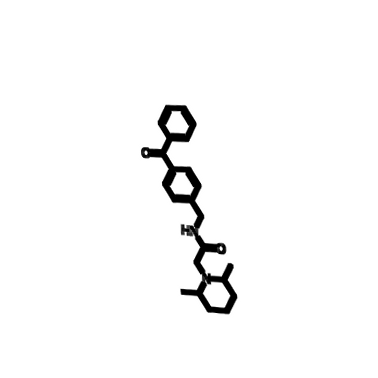 CC1CCCC(C)N1CC(=O)NCc1ccc(C(=O)c2ccccc2)cc1